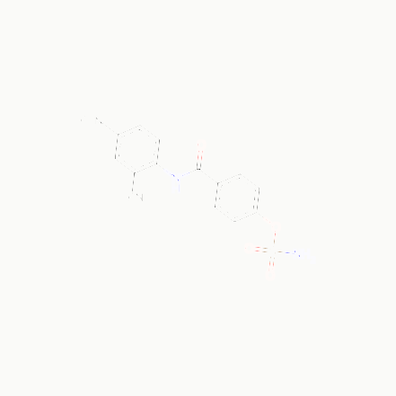 N#Cc1cc([N+](=O)[O-])ccc1NC(=O)c1ccc(OS(N)(=O)=O)cc1